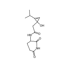 CC(C)C1=CC1(O)CC(=O)NC1CCC(=O)NC1=O